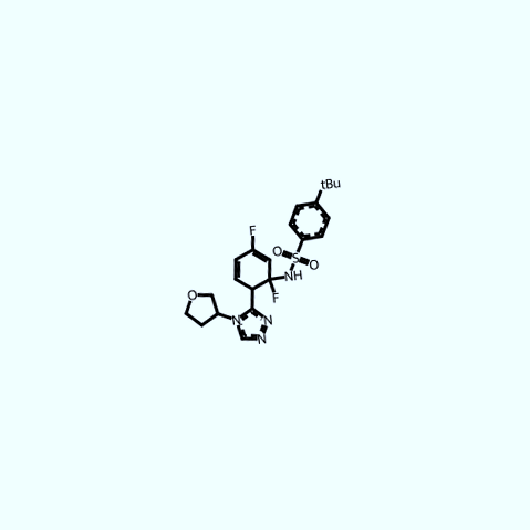 CC(C)(C)c1ccc(S(=O)(=O)NC2(F)C=C(F)C=CC2c2nncn2C2CCOC2)cc1